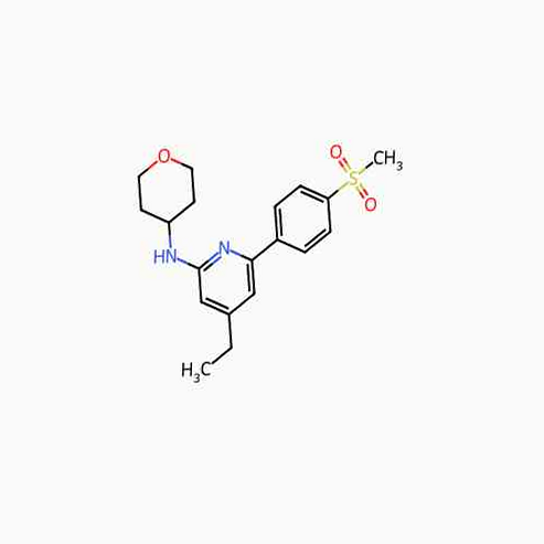 CCc1cc(NC2CCOCC2)nc(-c2ccc(S(C)(=O)=O)cc2)c1